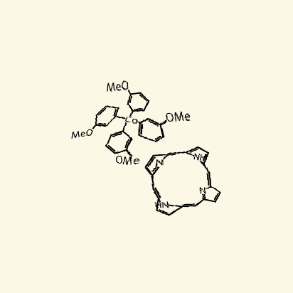 C1=Cc2cc3ccc(cc4nc(cc5ccc(cc1n2)[nH]5)C=C4)[nH]3.COc1ccc[c]([Co]([c]2cccc(OC)c2)([c]2cccc(OC)c2)[c]2cccc(OC)c2)c1